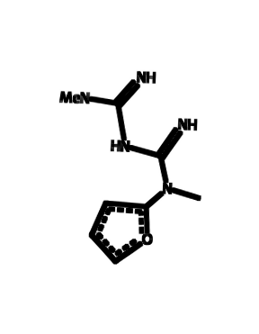 CNC(=N)NC(=N)N(C)c1ccco1